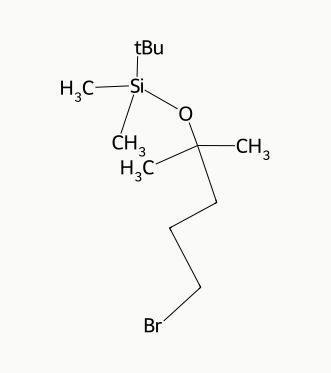 CC(C)(CCCBr)O[Si](C)(C)C(C)(C)C